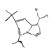 CC(C)c1cc(C(C)(C)C)nc2c(C(F)F)cnn12